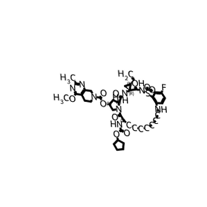 C=C[C@@H]1C[C@@]12NC(=O)[C@@H]1C[C@@H](OC(=O)N3CCc4c(nc(C)nc4OC)C3)CN1C(=O)[C@@H](NC(=O)OC1CCCC1)CCCCCCCNc1ccc(F)cc1S(=O)(=O)NC2=O